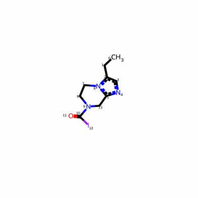 CCc1cnc2n1CCN(C(=O)I)C2